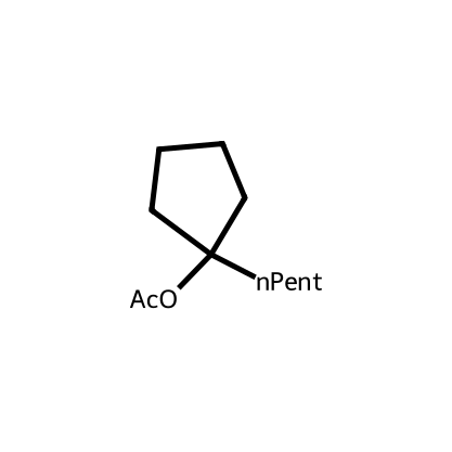 CCCCCC1(OC(C)=O)CCCC1